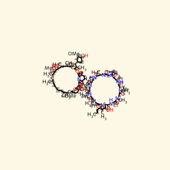 C/C=C/C[C@@H](C)[C@@H](O)[C@H]1C(=O)N[C@@H](CC)C(=O)N(C)CC(=O)N(C)[C@@H](CC(C)C)C(=O)N[C@@H](C(C)C)C(=O)N(C)[C@@H](CC(C)C)C(=O)N[C@@H](C)C(=O)N[C@H](C)C(=O)N(C)[C@@H](CC(C)C)C(=O)N(C)[C@@H](CC(C)C)C(=O)N(C)[C@@H](C(C)C)C(=O)N1C.CO[C@H]1C[C@@H]2CC[C@@H](C)[C@@](O)(O2)C(=O)C(=O)N2CCCC[C@H]2C(=O)O[C@H]([C@H](C)C[C@@H]2CC[C@@H](O)[C@H](OC)C2)CC(=O)[C@H](C)/C=C(\C)[C@@H](O)[C@@H](OC)C(=O)[C@H](C)C[C@H](C)/C=C/C=C/C=C/1C